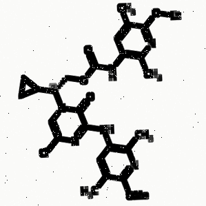 CCOc1nc(C)c(NC(=O)OC[C@@H](C2CC2)n2cc(Cl)nc(Nc3cc(C)c(OC)nc3C)c2=O)cc1C